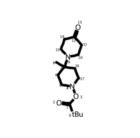 CC(C)(C)C(=O)ON1CCC(C)(N2CCC(=O)CC2)CC1